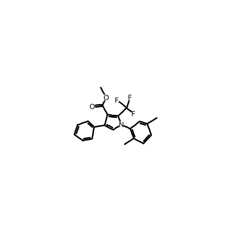 COC(=O)c1c(-c2ccccc2)cn(-c2cc(C)ccc2C)c1C(F)(F)F